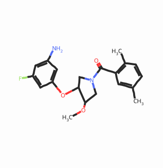 COC1CN(C(=O)c2cc(C)ccc2C)CC1Oc1cc(N)cc(F)c1